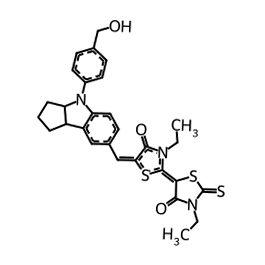 CCN1C(=O)/C(=c2\s/c(=C/c3ccc4c(c3)C3CCCC3N4c3ccc(CO)cc3)c(=O)n2CC)SC1=S